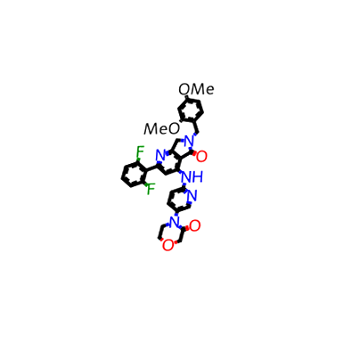 COc1ccc(CN2Cc3nc(-c4c(F)cccc4F)cc(Nc4ccc(N5CCOCC5=O)cn4)c3C2=O)c(OC)c1